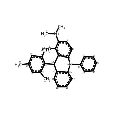 COc1c(N(C)C)ccc2c1C(c1c(C)cc(C)cc1C)c1ccccc1N2c1ccccc1